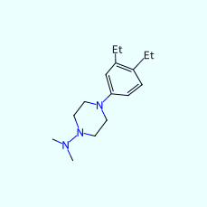 CCc1ccc(N2CCN(N(C)C)CC2)cc1CC